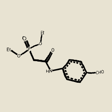 CCOP(=O)(CC(=O)Nc1ccc(C=O)cc1)OCC